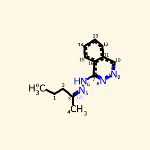 CCC/C(C)=N\Nc1nncc2ccccc12